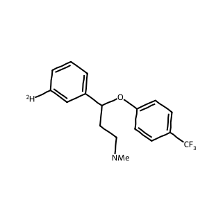 [2H]c1cccc(C(CCNC)Oc2ccc(C(F)(F)F)cc2)c1